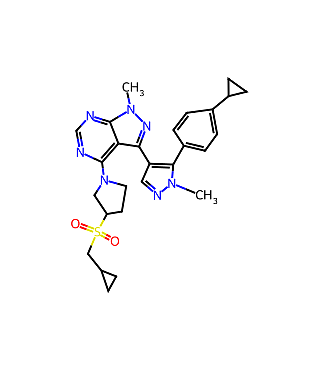 Cn1ncc(-c2nn(C)c3ncnc(N4CCC(S(=O)(=O)CC5CC5)C4)c23)c1-c1ccc(C2CC2)cc1